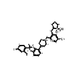 CC1(c2ccc(Cl)cc2F)Oc2cccc(C3CCN(Cc4ncc(C#N)cc4CC4CCCS4(O)O)CC3)c2O1